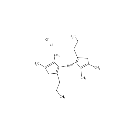 CCCC1=[C]([Hf+2][C]2=C(CCC)CC(C)=C2C)C(C)=C(C)C1.[Cl-].[Cl-]